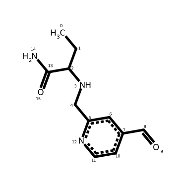 CCC(NCc1cc(C=O)ccn1)C(N)=O